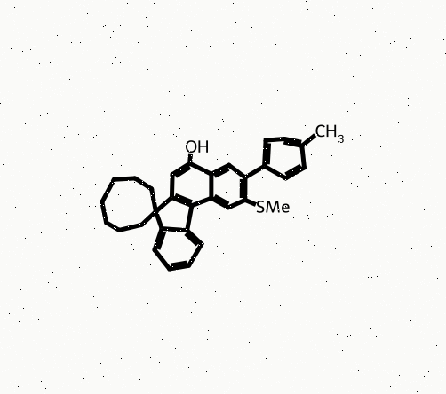 CSc1cc2c3c(cc(O)c2cc1-c1ccc(C)cc1)C1(CCCCCCC1)c1ccccc1-3